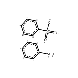 O=S(=O)(O)c1ccccc1.O=[S](=O)([K])c1ccccc1